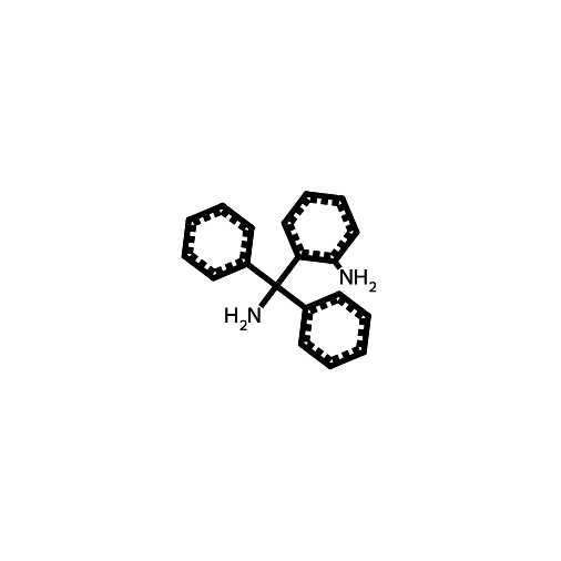 Nc1ccccc1C(N)(c1ccccc1)c1ccccc1